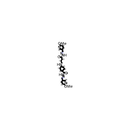 COc1ccc(/C=N/NC(=O)CCCNc2ccc(C(=O)N/N=C/c3ccc(OC)nc3)cc2)cn1